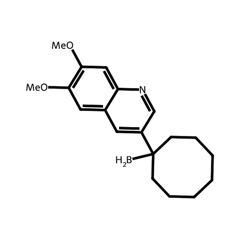 BC1(c2cnc3cc(OC)c(OC)cc3c2)CCCCCCC1